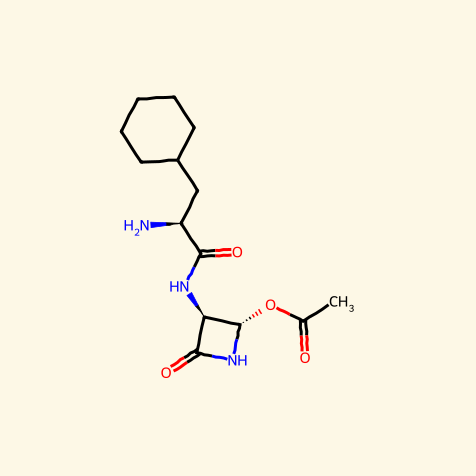 CC(=O)O[C@@H]1NC(=O)[C@H]1NC(=O)[C@@H](N)CC1CCCCC1